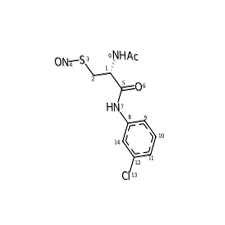 CC(=O)N[C@@H](CSN=O)C(=O)Nc1cccc(Cl)c1